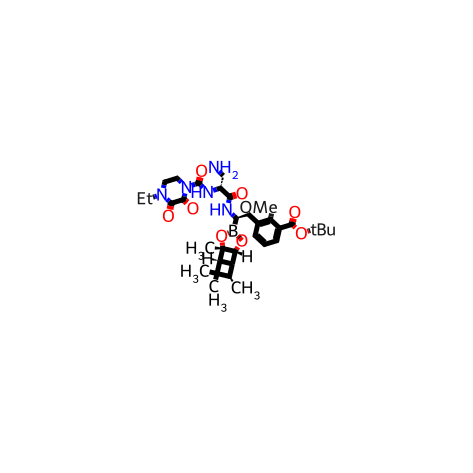 CCN1CCN(C(=O)N[C@H](CN)C(=O)N[C@@H](Cc2cccc(C(=O)OC(C)(C)C)c2OC)B2O[C@@H]3C4[C@H](C)C(C)(C)[C@H]4[C@]3(C)O2)C(=O)C1=O